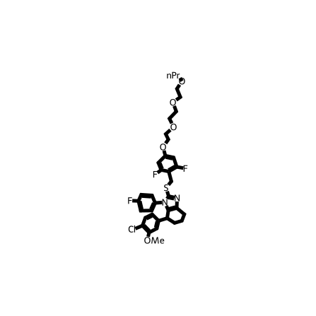 CCCOCCOCCOCCOc1cc(F)c(CSc2nc3c(n2-c2ccc(F)cc2)C(c2ccc(Cl)c(OC)c2)CCC3)c(F)c1